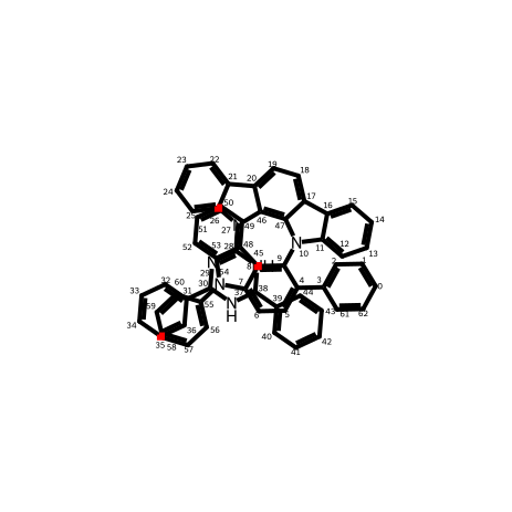 c1ccc(-c2ccc3c(c2-n2c4ccccc4c4ccc5c6ccccc6n(C6=NC(c7ccccc7)NC(c7ccccc7)N6)c5c42)c2ccccc2n3-c2ccccc2)cc1